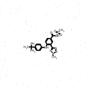 Cn1nnc(-c2cc(C(=O)NS(C)(=O)=O)ccc2Nc2ccc(C(C)(P)P)cc2)n1